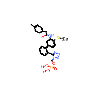 Cc1ccc(CC(=O)Nc2cc(-c3ccccc3-c3nnnn3COP(=O)(O)O)ccc2SC(C)(C)C)cc1